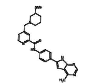 CNC1CCCN(Cc2ccnc(C(=O)Nc3ccc(-c4cc5c(C)ncnc5[nH]4)cc3)c2)C1